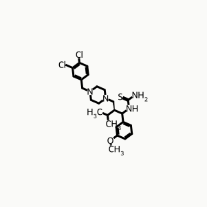 COc1cccc(C(NC(N)=S)[C@H](CN2CCN(Cc3ccc(Cl)c(Cl)c3)CC2)C(C)C)c1